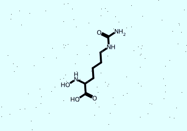 NC(=O)NCCCCC(NO)C(=O)O